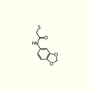 O=C(C[S])Nc1ccc2c(c1)OCO2